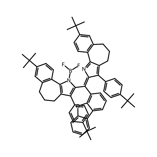 CC(C)(C)c1ccc(C2=C3CCCc4cc(C(C)(C)C)ccc4C3=N/C2=C(/c2cccc3c2oc2ccccc23)c2c(-c3ccc(C(C)(C)C)cc3)c3c(n2B(F)F)-c2ccc(C(C)(C)C)cc2CCC3)cc1